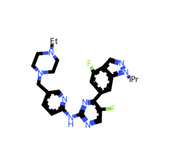 CCN1CCN(Cc2ccc(Nc3ncc(F)c(-c4cc(F)c5cnn(C(C)C)c5c4)n3)nc2)CC1